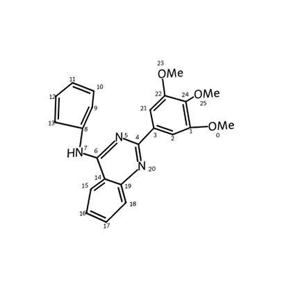 COc1cc(-c2nc(Nc3ccccc3)c3ccccc3n2)cc(OC)c1OC